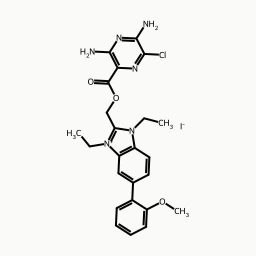 CCn1c(COC(=O)c2nc(Cl)c(N)nc2N)[n+](CC)c2cc(-c3ccccc3OC)ccc21.[I-]